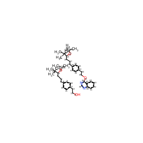 C[SiH](C)OC(CCCc1ccc(CCO)cc1)C(C)(C)C.C[SiH](C)OC(CCCc1ccc(CCOc2ncnc3ccccc23)cc1)C(C)(C)C